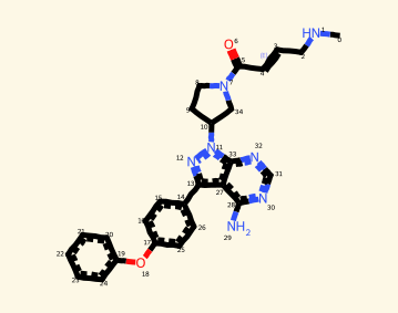 CNC/C=C/C(=O)N1CCC(n2nc(-c3ccc(Oc4ccccc4)cc3)c3c(N)ncnc32)C1